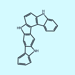 c1ccc2c(c1)[nH]c1cc3c(cc12)[nH]c1ccc2[nH]c4ccccc4c2c13